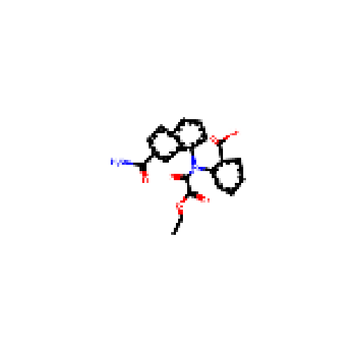 CCOC(=O)C(=O)N(c1ccccc1C(=O)O)c1cccc2ccc(C(N)=O)cc12